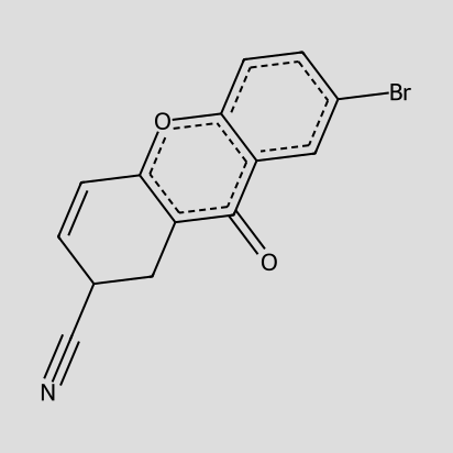 N#CC1C=Cc2oc3ccc(Br)cc3c(=O)c2C1